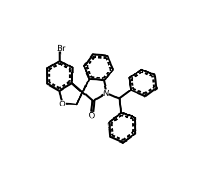 O=C1N(C(c2ccccc2)c2ccccc2)c2ccccc2C12COc1ccc(Br)cc12